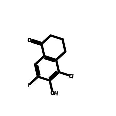 O=C1CCCc2c1cc(I)c(O)c2Cl